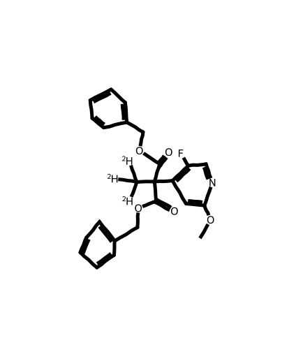 [2H]C([2H])([2H])C(C(=O)OCc1ccccc1)(C(=O)OCc1ccccc1)c1cc(OC)ncc1F